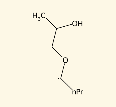 CCC[CH]OCC(C)O